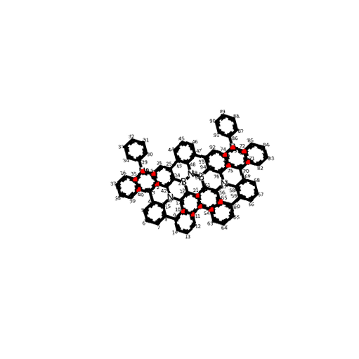 c1ccc(-c2cccc(-c3ccccc3)c2N2c3ccccc3B3c4c(cc(N(c5ccccc5)c5ccccc5)cc42)-c2cccc4c2N3B2c3ccccc3N(c3c(-c5ccccc5)cccc3-c3ccccc3)c3cc(N(c5ccccc5)c5ccccc5)cc-4c32)cc1